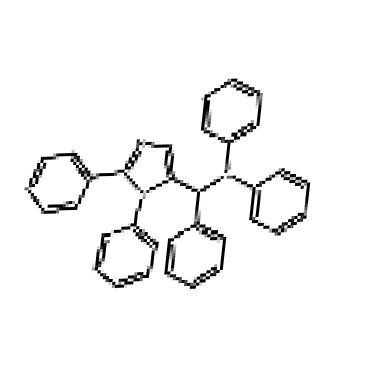 c1ccc(-c2ncc(C(c3ccccc3)N(c3ccccc3)c3ccccc3)n2-c2ccccc2)cc1